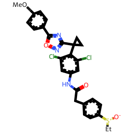 CC[S+]([O-])c1ccc(CC(=O)Nc2cc(Cl)c(C3(c4noc(-c5ccc(OC)cc5)n4)CC3)c(Cl)c2)cc1